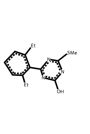 CCc1cccc(CC)c1-c1nc(O)nc(SC)n1